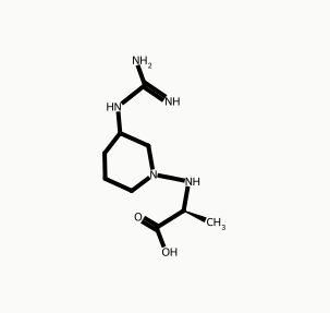 C[C@H](NN1CCCC(NC(=N)N)C1)C(=O)O